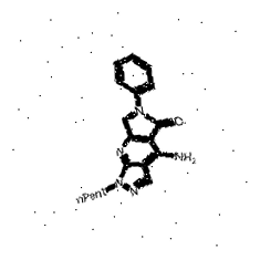 CCCCCn1ncc2c(N)c3c(nc21)CN(c1ccccc1)C3=O